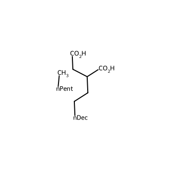 CCCCCC.CCCCCCCCCCCCC(CC(=O)O)C(=O)O